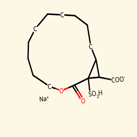 O=C([O-])C1C2CCCCCCCCCCOC(=O)C21S(=O)(=O)O.[Na+]